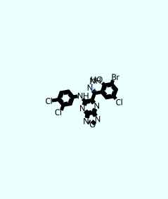 N/N=C(\c1cc(Cl)cc(Br)c1O)c1nc2nonc2nc1Nc1ccc(Cl)c(Cl)c1